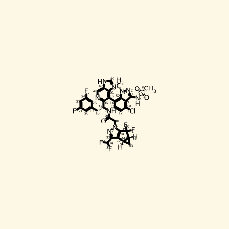 Cn1nc(NS(C)(=O)=O)c2c(Cl)ccc(-c3c([C@@H](Cc4cc(F)cc(F)c4)NC(=O)Cn4nc(C(F)F)c5c4C(F)(F)[C@@H]4C[C@H]54)ncc4[nH]cnc34)c21